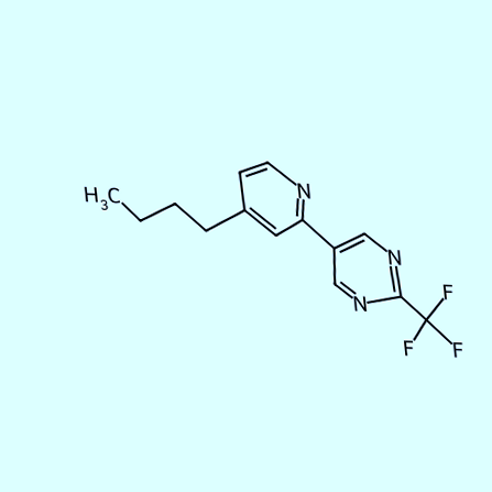 CCCCc1ccnc(-c2cnc(C(F)(F)F)nc2)c1